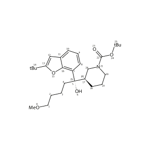 COCCCC[C@@](O)(c1cccc2cc(C(C)(C)C)oc12)[C@@H]1CCCN(C(=O)OC(C)(C)C)C1